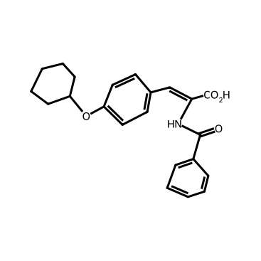 O=C(O)C(=Cc1ccc(OC2CCCCC2)cc1)NC(=O)c1ccccc1